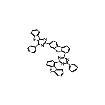 c1ccc(-c2nc(-c3cccc4c3sc3cc(-c5nc(-c6ccccc6)c6sc7ccccc7c6n5)ccc34)nc(-c3cccc4sc5ccccc5c34)n2)cc1